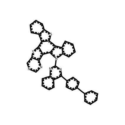 c1ccc(-c2ccc(-c3nc(-n4c5ccccc5c5c6sc7ccccc7c6c6sc7cncnc7c6c54)nc4ccccc34)cc2)cc1